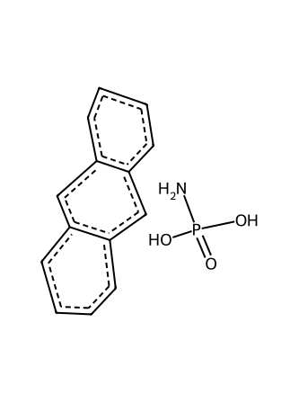 NP(=O)(O)O.c1ccc2cc3ccccc3cc2c1